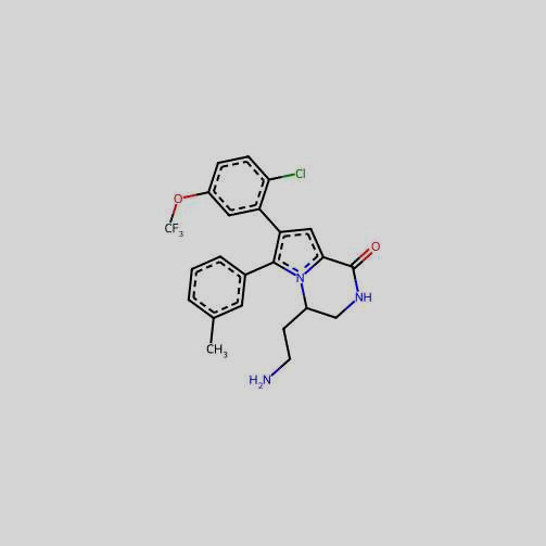 Cc1cccc(-c2c(-c3cc(OC(F)(F)F)ccc3Cl)cc3n2C(CCN)CNC3=O)c1